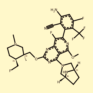 COc1nc(-c2c(C#N)c(N)cc(F)c2C(F)(F)F)c(F)c2nc(OC[C@]3(C)CN(C)CC[C@@H]3CF)nc(N3C[C@H]4CC[C@@H](C3)N4)c12